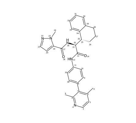 Cc1ccnc(C)c1-c1ccc(NC(=O)[C@@H](NC(=O)c2ccnn2C)[C@H]2CCCc3ccccc32)cc1